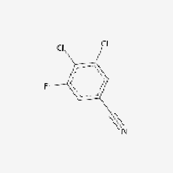 N#Cc1cc(F)c(Cl)c(Cl)c1